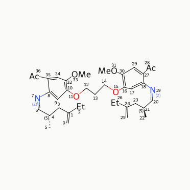 C=C(CC)C[C@H](C)/C=N\c1cc(OCCCOc2cc(/N=C\[C@@H](C)CC(=C)CC)c(C(C)=O)cc2OC)c(OC)cc1C(C)=O